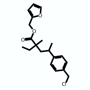 CCC(C)(CC(C)c1ccc(CCl)cc1)C(=O)OCc1ccco1